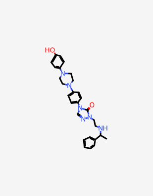 CC(NCCn1ncn(-c2ccc(N3CCN(c4ccc(O)cc4)CC3)cc2)c1=O)c1ccccc1